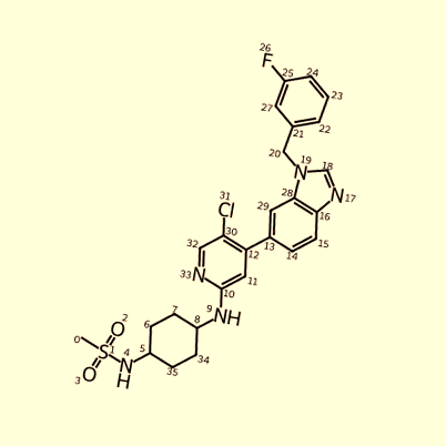 CS(=O)(=O)NC1CCC(Nc2cc(-c3ccc4ncn(Cc5cccc(F)c5)c4c3)c(Cl)cn2)CC1